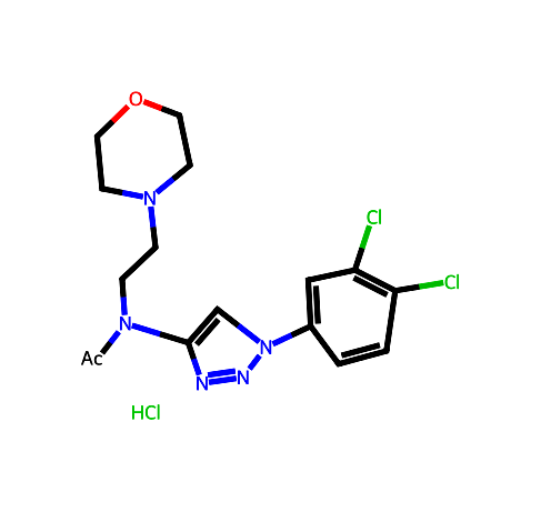 CC(=O)N(CCN1CCOCC1)c1cn(-c2ccc(Cl)c(Cl)c2)nn1.Cl